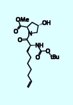 C=CCCCCC[C@H](NC(=O)OC(C)(C)C)C(=O)N1C[C@@H](O)CC1C(=O)OC